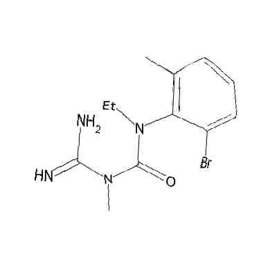 CCN(C(=O)N(C)C(=N)N)c1c(C)cccc1Br